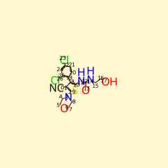 N#Cc1c(N2CCOCC2)sc(NC(=O)NCCO)c1-c1ccc(Cl)cc1Cl